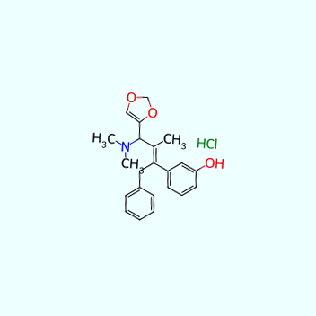 C/C(=C(/Cc1ccccc1)c1cccc(O)c1)C(C1=COCO1)N(C)C.Cl